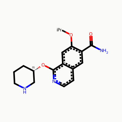 CC(C)Oc1cc2c(O[C@H]3CCCNC3)nccc2cc1C(N)=O